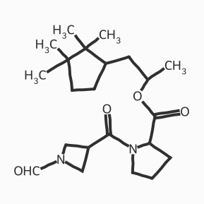 CC(CC1CCC(C)(C)C1(C)C)OC(=O)C1CCCN1C(=O)C1CN(C=O)C1